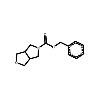 O=C(OCc1ccccc1)N1CC2COCC2C1